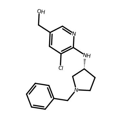 OCc1cnc(N[C@@H]2CCN(Cc3ccccc3)C2)c(Cl)c1